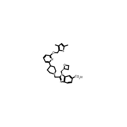 Cc1cc(C)c(COc2cccc(C3CCN(Cc4nc5ccc(C(=O)O)cc5n4C[C@@H]4CCO4)CC3)n2)s1